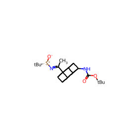 C/C(=N\[S@@+]([O-])C(C)(C)C)C12C3C4C1C1C2C3C41NC(=O)OC(C)(C)C